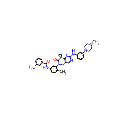 Cc1ccc(NC(=O)c2cccc(C(F)(F)F)c2)cc1N1Cc2cnc(Nc3cccc(N4CCN(C)CC4)c3)nc2C2(CC2)C1=O